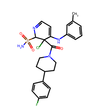 Cc1cccc(NC2=CC=NC(S(N)(=O)=O)C2(Cl)C(=O)N2CCC(c3ccc(F)cc3)CC2)c1